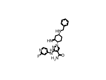 N=C1C[C@@H](NCc2ccccc2)CC[C@@H]1n1cc(C(N)=O)c(Nc2ccnc(F)c2)n1